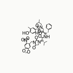 Cc1cc(S(=O)(=O)N(CC(C)C)C[C@H](O)[C@H](Cc2ccccc2)NC(=O)[C@H](C(C)C)N2CC(=O)N(Cc3cc4c(cc3[N+](=O)[O-])OCO4)C2=O)ccc1O